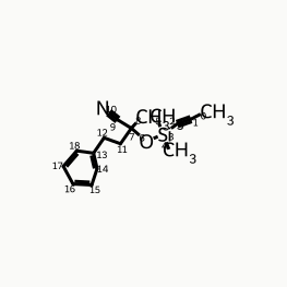 CC#C[Si](C)(C)OC(C)(C#N)CCc1ccccc1